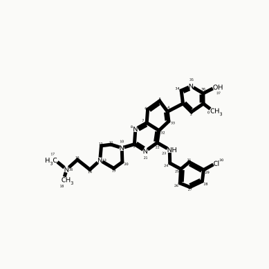 Cc1cc(-c2ccc3nc(N4CCN(CCN(C)C)CC4)nc(NCc4cccc(Cl)c4)c3c2)cnc1O